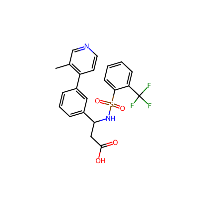 Cc1cnccc1-c1cccc(C(CC(=O)O)NS(=O)(=O)c2ccccc2C(F)(F)F)c1